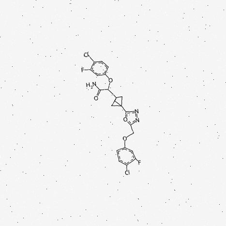 NC(=O)C(Oc1ccc(Cl)c(F)c1)C12CC(c3nnc(COc4ccc(Cl)c(F)c4)o3)(C1)C2